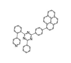 c1ccc(-c2nc(-c3ccc(-c4ccc5ccc6cccc7ccc4c5c67)cc3)nc(-c3ccccc3-c3ccncc3)n2)cc1